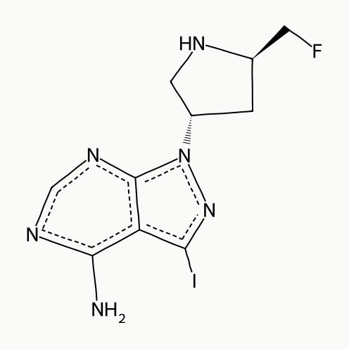 Nc1ncnc2c1c(I)nn2[C@@H]1CN[C@@H](CF)C1